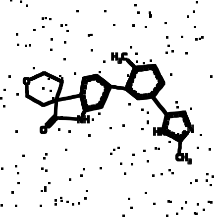 Cc1ncc(-c2ccc(C)c(-c3ccc4c(c3)NC(=O)C43CCOCC3)c2)[nH]1